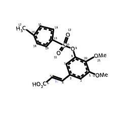 COc1cc(/C=C/C(=O)O)cc(OS(=O)(=O)c2ccc(C)cc2)c1OC